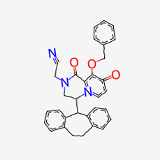 N#CCN1CC(C2c3ccccc3CCc3ccccc32)n2ccc(=O)c(OCc3ccccc3)c2C1=O